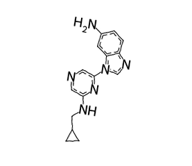 Nc1ccc2ncn(-c3cncc(NCC4CC4)n3)c2c1